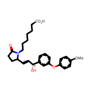 COc1ccc(Oc2cccc([C@H](O)/C=C/C3CCC(=O)N3CCCCCCC(=O)O)c2)cc1